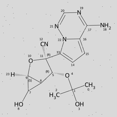 CC(C)(O)O[C@@H]1C2C(O)[C@H]2O[C@@]1(C#N)c1ccc2c(N)ncnn12